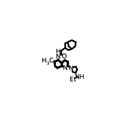 CCN[C@H]1CCN(c2ccc3c(NC(=O)CC4CC5CCCC(C5)C4)c(C)ccc3n2)C1